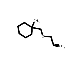 C=CCOCC1(C)CCCCC1